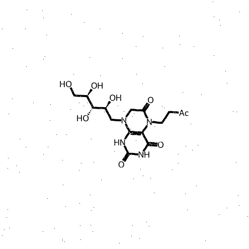 CC(=O)CCN1C(=O)CN(C[C@H](O)[C@H](O)[C@H](O)CO)c2[nH]c(=O)[nH]c(=O)c21